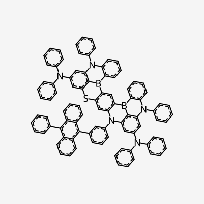 c1ccc(-c2c3ccccc3c(-c3cccc(N4c5cc6c(cc5B5c7ccccc7N(c7ccccc7)c7cc(N(c8ccccc8)c8ccccc8)cc4c75)B4c5ccccc5N(c5ccccc5)c5cc(N(c7ccccc7)c7ccccc7)cc(c54)S6)c3)c3ccccc23)cc1